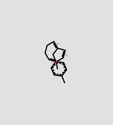 CC1=C/CC/C=C(Cc2ccc(C)cc2)/C=C\1